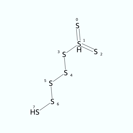 S=[SH](=S)SSSSS